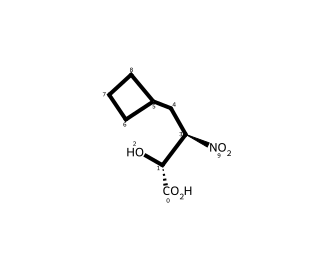 O=C(O)[C@H](O)[C@@H](CC1CCC1)[N+](=O)[O-]